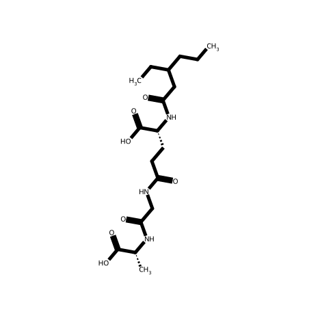 CCCC(CC)CC(=O)N[C@H](CCC(=O)NCC(=O)N[C@H](C)C(=O)O)C(=O)O